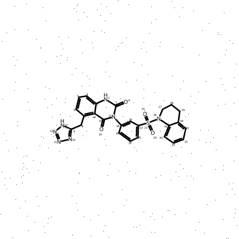 O=c1[nH]c2cccc(Cc3nnn[nH]3)c2c(=O)n1-c1cccc(S(=O)(=O)N2CCCc3ccccc32)c1